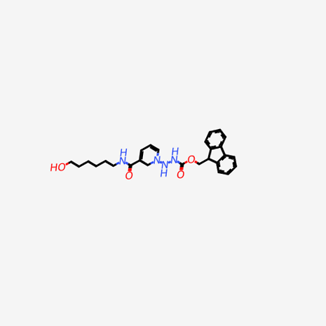 O=C(NNN1C=CC=C(C(=O)NCCCCCCO)C1)OCC1c2ccccc2-c2ccccc21